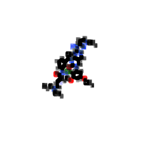 COc1cc(OC)c(Cl)c(N2Cc3cnc(Nc4ccn(C)n4)nc3N(C(C)c3cccc(NC(=O)/C=C/CN(C)C)c3)C2=O)c1